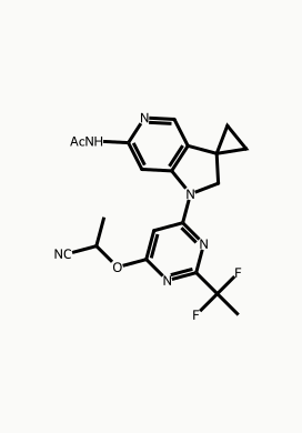 CC(=O)Nc1cc2c(cn1)C1(CC1)CN2c1cc(OC(C)C#N)nc(C(C)(F)F)n1